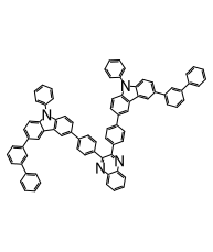 c1ccc(-c2cccc(-c3ccc4c(c3)c3cc(-c5ccc(-c6nc7ccccc7nc6-c6ccc(-c7ccc8c(c7)c7cc(-c9cccc(-c%10ccccc%10)c9)ccc7n8-c7ccccc7)cc6)cc5)ccc3n4-c3ccccc3)c2)cc1